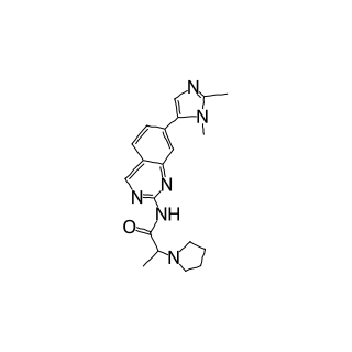 Cc1ncc(-c2ccc3cnc(NC(=O)C(C)N4CCCC4)nc3c2)n1C